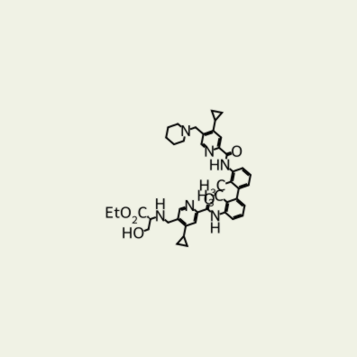 CCOC(=O)[C@H](CO)NCc1cnc(C(=O)Nc2cccc(-c3cccc(NC(=O)c4cc(C5CC5)c(CN5CCCCC5)cn4)c3C)c2C)cc1C1CC1